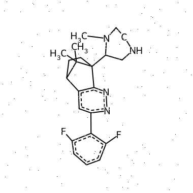 CN1CCNCC1C12CCC(c3cc(-c4c(F)cccc4F)nnc31)C2(C)C